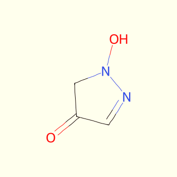 O=C1C=NN(O)C1